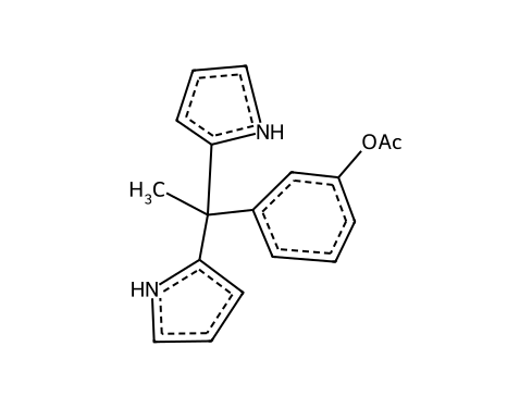 CC(=O)Oc1cccc(C(C)(c2ccc[nH]2)c2ccc[nH]2)c1